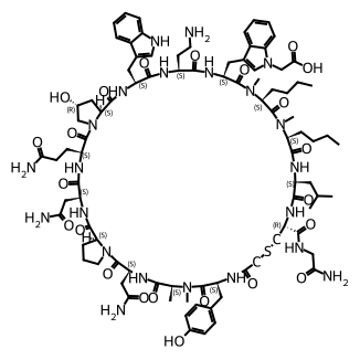 CCCC[C@H]1C(=O)N(C)[C@@H](CCCC)C(=O)N[C@@H](CC(C)C)C(=O)N[C@H](C(=O)NCC(N)=O)CSCC(=O)N[C@@H](Cc2ccc(O)cc2)C(=O)N(C)[C@@H](C)C(=O)N[C@@H](CC(N)=O)C(=O)N2CCC[C@H]2C(=O)N[C@@H](CC(N)=O)C(=O)N[C@@H](CCC(N)=O)C(=O)N2C[C@H](O)C[C@H]2C(=O)N[C@@H](Cc2c[nH]c3ccccc23)C(=O)N[C@@H](CCN)C(=O)N[C@@H](Cc2cn(CC(=O)O)c3ccccc23)C(=O)N1C